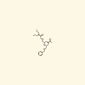 CCCN(CCC)C(=O)COCC1CN(C(C)=O)CC(COCc2ccccc2)O1